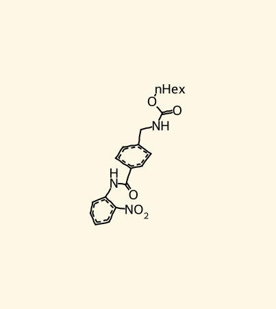 CCCCCCOC(=O)NCc1ccc(C(=O)Nc2ccccc2[N+](=O)[O-])cc1